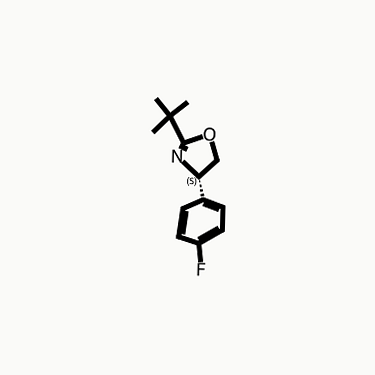 CC(C)(C)C1=N[C@@H](c2ccc(F)cc2)CO1